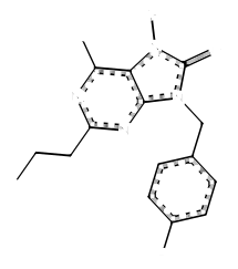 CCCc1nc(Cl)c2c(n1)n(Cc1ccc(F)cc1)c(=O)n2S